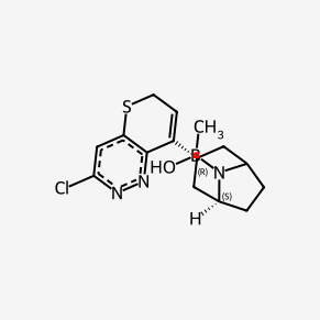 CB(O)N1C2CC[C@H]1C[C@H](C1=CCSc3cc(Cl)nnc31)C2